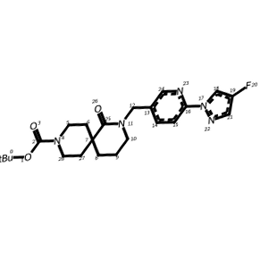 CC(C)(C)OC(=O)N1CCC2(CCCN(Cc3ccc(-n4cc(F)cn4)nc3)C2=O)CC1